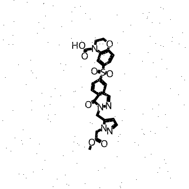 COC(=O)Cn1nccc1Cn1ncc2cc(S(=O)(=O)c3ccc4c(c3)N(C(=O)O)CCO4)ccc2c1=O